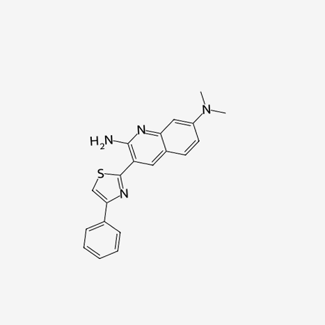 CN(C)c1ccc2cc(-c3nc(-c4ccccc4)cs3)c(N)nc2c1